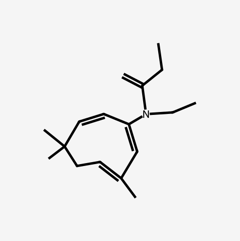 C=C(CC)N(CC)C1=C/C(C)=C/CC(C)(C)/C=C\1